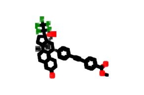 COC(=O)c1ccc(C#Cc2ccc([C@H]3C[C@@]4(C)[C@@H](CC[C@@]4(O)C(F)(F)C(F)(F)F)[C@@H]4CCC5=CC(=O)CCC5=C43)cc2)cc1